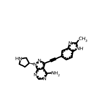 Cc1nc2cc(C#Cc3nn([C@H]4CCNC4)c4ncnc(N)c34)ccc2[nH]1